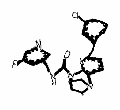 O=C(Nc1cncc(F)c1)N1c2nc(-c3cccc(Cl)c3)ccc2N2CCC1C2